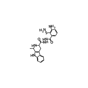 CC1NC(C(=O)NNC(=O)c2cccc(N)c2SN)Cc2c1[nH]c1ccccc21